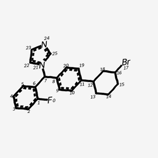 Fc1ccccc1C(c1ccc(C2CCCC(Br)C2)cc1)n1ccnc1